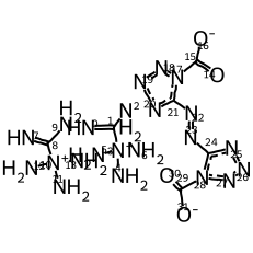 N=C(N)[N+](N)(N)N.N=C(N)[N+](N)(N)N.O=C([O-])n1nnnc1N=Nc1nnnn1C(=O)[O-]